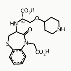 O=C(O)CN1C(=O)C(N[C@@H](COC2CCNCC2)C(=O)O)CSc2ccccc21